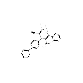 N#CC1=C(N)Oc2c(c(=O)oc3ccccc23)C1c1ccc(-c2ccccc2)cc1